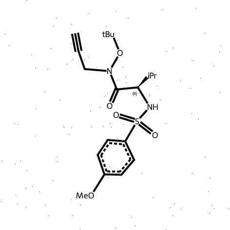 C#CCN(OC(C)(C)C)C(=O)[C@H](NS(=O)(=O)c1ccc(OC)cc1)C(C)C